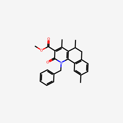 COC(=O)c1c(C)c2c(n(Cc3ccccc3)c1=O)-c1cc(C)ccc1CC2C